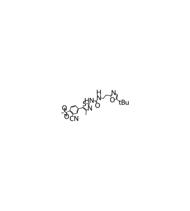 Cc1nc(NC(=O)NCCc2ncc(C(C)(C)C)o2)sc1-c1ccc(S(C)(=O)=O)c(C#N)c1